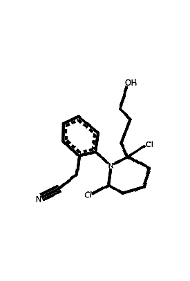 N#CCc1ccccc1N1C(Cl)CCCC1(Cl)CCCO